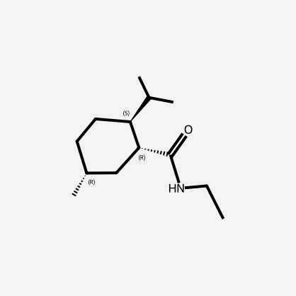 CCNC(=O)[C@@H]1C[C@H](C)CC[C@H]1C(C)C